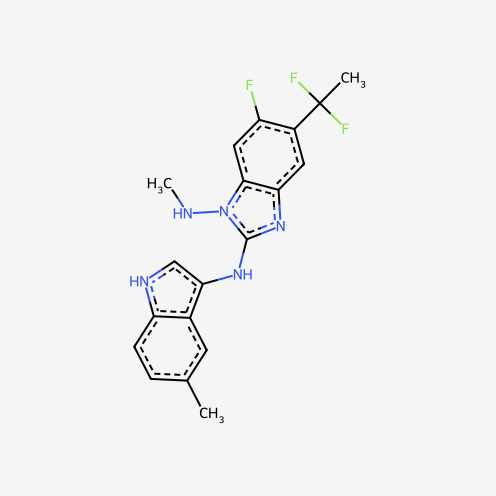 CNn1c(Nc2c[nH]c3ccc(C)cc23)nc2cc(C(C)(F)F)c(F)cc21